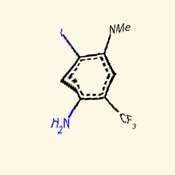 CNc1cc(C(F)(F)F)c(N)cc1I